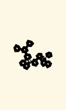 c1ccc(-c2cc(-c3ccccc3)cc(-c3ccc(N(c4cccc(-c5cccc6c5c5ccc7ccccc7c5n6-c5ccccc5)c4)c4cccc5ccccc45)cc3)c2)cc1